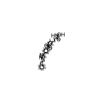 O=C(/C=C/c1ccn(S(=O)(=O)c2ccc(-c3cn(CCN4CCCCC4)nn3)cc2)c1)NO